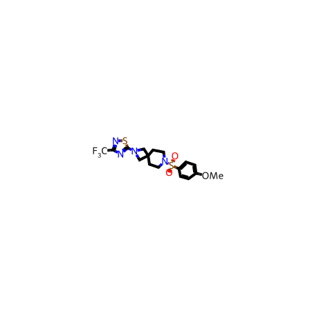 COc1ccc(S(=O)(=O)N2CCC3(CC2)CN(c2nc(C(F)(F)F)ns2)C3)cc1